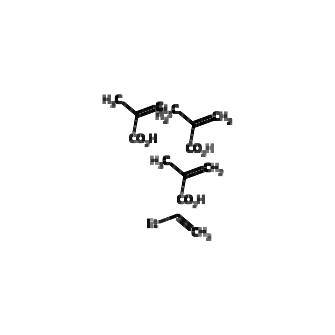 C=C(C)C(=O)O.C=C(C)C(=O)O.C=C(C)C(=O)O.C=CCC